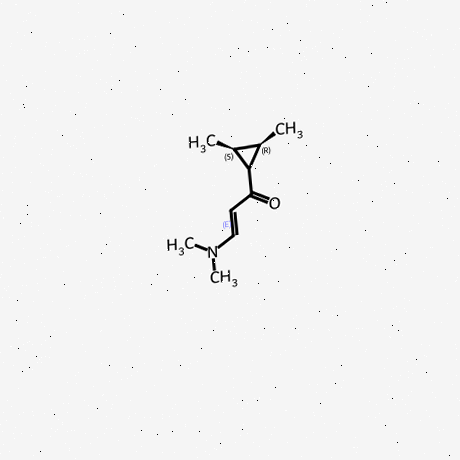 C[C@@H]1C(C(=O)/C=C/N(C)C)[C@@H]1C